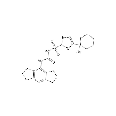 O=C(Nc1c2c(cc3c1CCC3)CCC2)NS(=O)(=O)c1ncc(C2(O)CCCCC2)s1